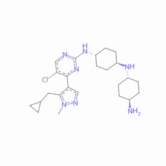 Cn1ncc(-c2nc(N[C@H]3CC[C@H](N[C@H]4CC[C@H](N)CC4)CC3)ncc2Cl)c1CC1CC1